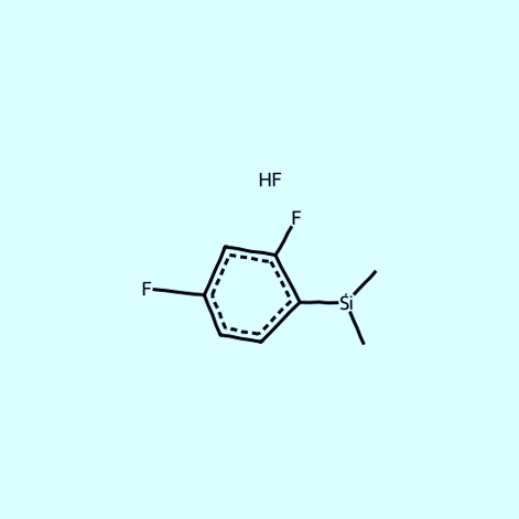 C[Si](C)c1ccc(F)cc1F.F